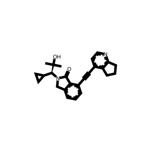 CC(C)(O)[C@H](C1CC1)N1Cc2cccc(C#Cc3ccnc4c3CCC4)c2C1=O